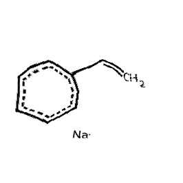 C=Cc1ccccc1.[Na]